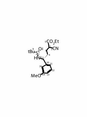 CCOC(=O)C(C#N)CC[C@@H](N[S@+]([O-])C(C)(C)C)c1cccc(OC)c1